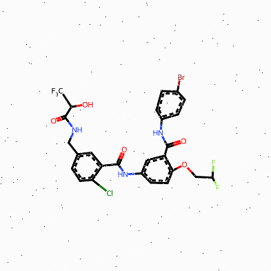 O=C(Nc1ccc(OCC(F)F)c(C(=O)Nc2ccc(Br)cc2)c1)c1cc(CNC(=O)C(O)C(F)(F)F)ccc1Cl